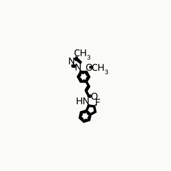 COc1cc(/C=C/C(=O)NC2c3ccccc3C[C@H]2F)ccc1-n1cnc(C)c1